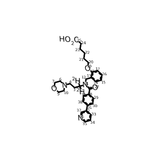 [2H]C([2H])(CCN1CCOCC1)N(Cc1ccccc1OCCCCCC(=O)O)C(=O)c1ccc(-c2cccnc2)cc1